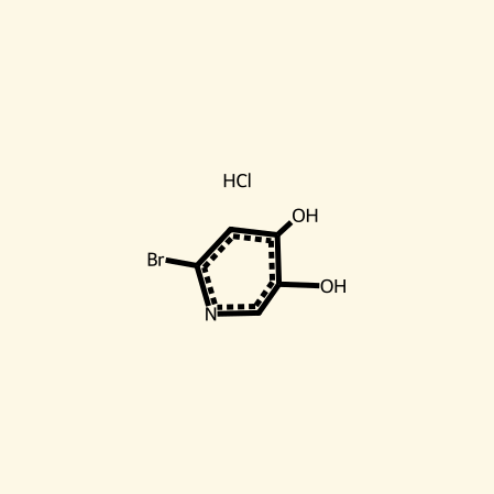 Cl.Oc1cnc(Br)cc1O